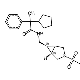 CS(=O)(=O)N1CC2[C@H](CNC(=O)C(O)(c3ccccc3)C3CCCC3)[C@H]2C1